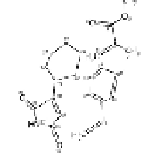 C=C(C)C(=O)OC.C=Cc1ccccc1.O=C1C=C(C2CCCCC2)C(=O)N1